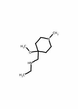 CCNCC1(OC)CCN(C)CC1